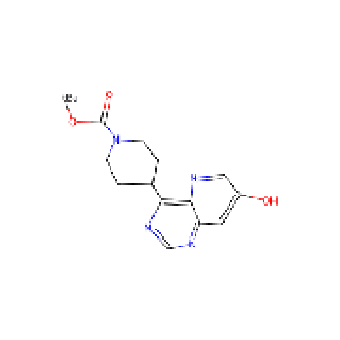 CC(C)(C)OC(=O)N1CCC(c2ncnc3cc(O)cnc23)CC1